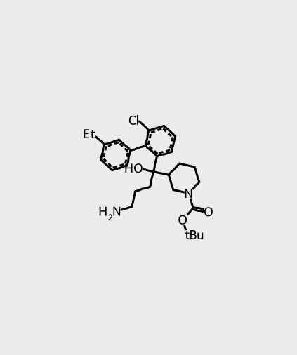 CCc1cccc(-c2c(Cl)cccc2C(O)(CCCN)C2CCCN(C(=O)OC(C)(C)C)C2)c1